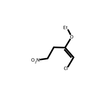 CCOC(=CCl)CC[N+](=O)[O-]